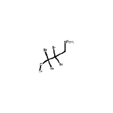 CCCCCCC(Br)(Br)C(Br)(Br)OCC